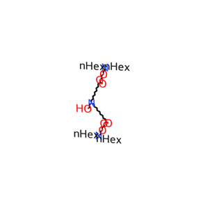 CCCCCCN(CCCCCC)CCOCCOC(=O)CCCCCCCCCN(CCO)CCCCCCCCCC(=O)OCCOCCN(CCCCCC)CCCCCC